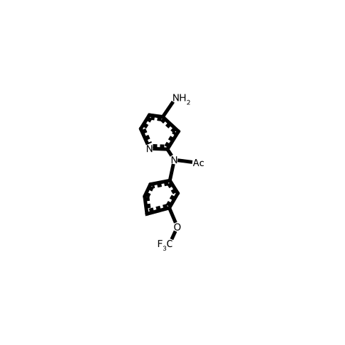 CC(=O)N(c1cccc(OC(F)(F)F)c1)c1cc(N)ccn1